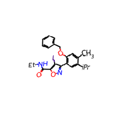 CCNC(=O)c1onc(-c2cc(C(C)C)c(C)cc2OCc2ccccc2)c1I